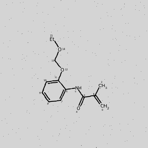 C=C(C)C(=O)Nc1ccccc1OCOCC